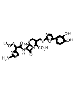 CCO/N=C(/C(=O)N[C@@H]1C(=O)N2C(C(=O)O)=C(CSc3ncc(-c4ccc(O)c(O)c4)o3)CS[C@H]12)c1csc(N)n1